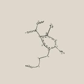 COCCCc1cc(C(=O)OC)c(Cl)cc1N